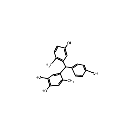 Cc1ccc(O)cc1C(c1ccc(O)cc1)c1cc(O)c(O)cc1C